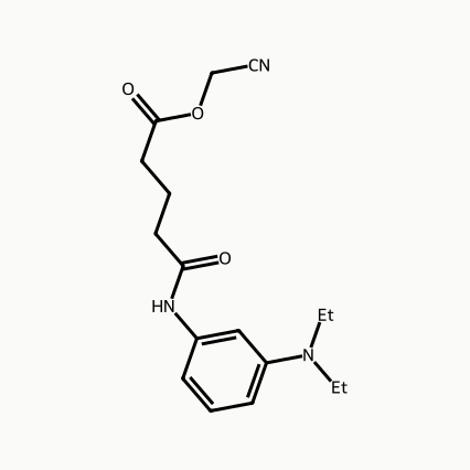 CCN(CC)c1cccc(NC(=O)CCCC(=O)OCC#N)c1